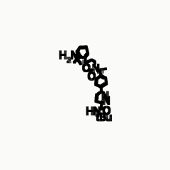 C[C@@H](c1ccc(-c2ccc(C(=O)NC(C)(C)C)nn2)cc1)N1CC[C@](CC(C)(C)N)(c2ccccc2)OC1=O